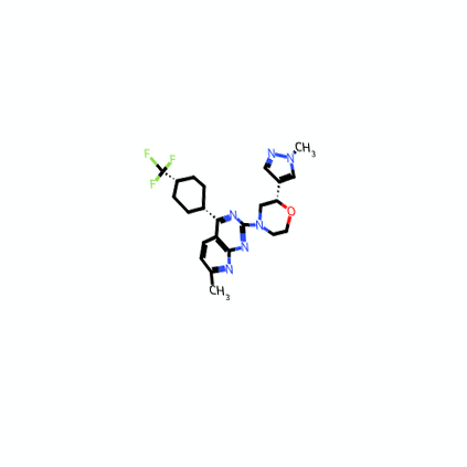 Cc1ccc2c(n1)nc(N1CCO[C@@H](c3cnn(C)c3)C1)nc2[C@H]1CC[C@@H](C(F)(F)F)CC1